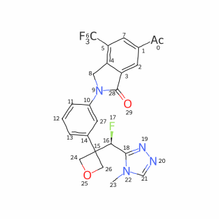 CC(=O)c1cc2c(c(C(F)(F)F)c1)CN(c1cccc(C3([C@@H](F)c4nncn4C)COC3)c1)C2=O